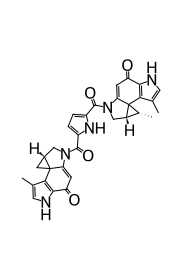 Cc1c[nH]c2c1C13C[C@@H]1CN(C(=O)c1ccc(C(=O)N4C[C@H]5[C@@H](C)C56C4=CC(=O)c4[nH]cc(C)c46)[nH]1)C3=CC2=O